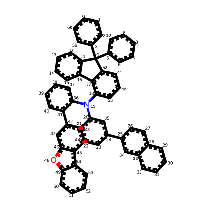 c1ccc(C2(c3ccccc3)c3ccccc3-c3c(N(c4cccc(-c5ccc6ccccc6c5)c4)c4ccccc4-c4ccc5c(c4)oc4ccccc45)cccc32)cc1